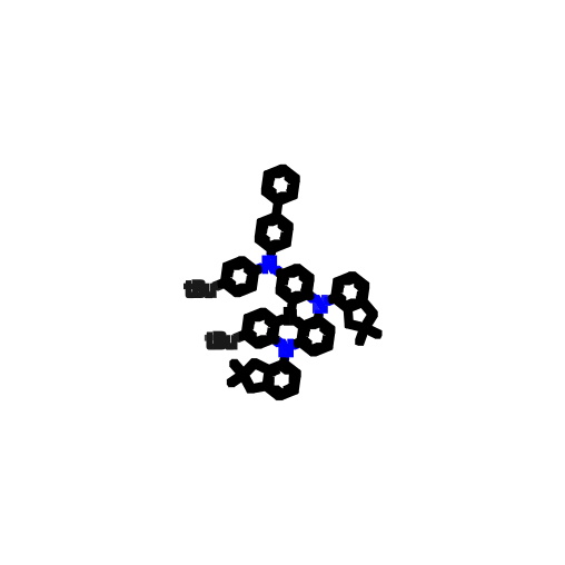 CC1(C)Cc2cccc(N3c4ccc(N(c5ccc(-c6ccccc6)cc5)c5ccc(C(C)(C)C)cc5)cc4B4c5ccc(C(C)(C)C)cc5N(c5cccc6c5CC(C)(C)C6)c5cccc3c54)c2C1